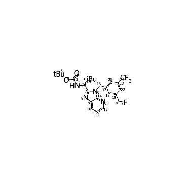 CC[C@H](C)[C@H](NC(=O)OC(C)(C)C)c1nc2cccnc2n1Cc1cc(CF)cc(C(F)(F)F)c1